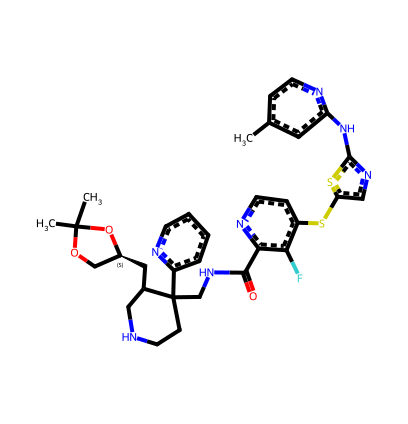 Cc1ccnc(Nc2ncc(Sc3ccnc(C(=O)NCC4(c5ccccn5)CCNCC4C[C@H]4COC(C)(C)O4)c3F)s2)c1